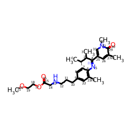 CCC(C)/C(=N\c1ccc(CCCNCC(=O)OCCOC)cc1C)c1cc(C)c(=O)n(C)c1